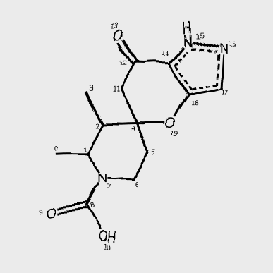 CC1C(C)C2(CCN1C(=O)O)CC(=O)c1[nH]ncc1O2